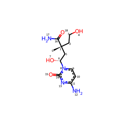 C[C@@](CCO)(C[C@@H](O)n1ccc(N)nc1=O)C(N)=O